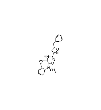 CN1C(=O)C(NC(=O)c2cc(Cc3ccccc3)on2)C2CC2c2ccccc21